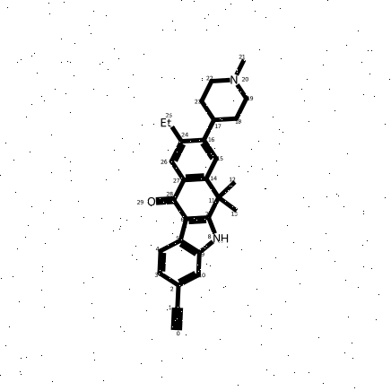 C#Cc1ccc2c3c([nH]c2c1)C(C)(C)c1cc(C2CCN(C)CC2)c(CC)cc1C3=O